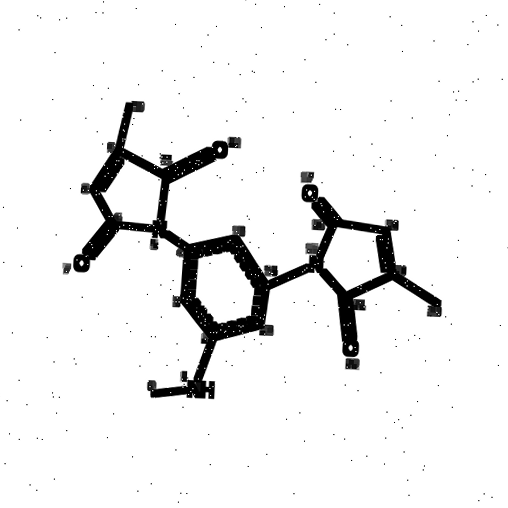 CNc1cc(N2C(=O)C=C(C)C2=O)cc(N2C(=O)C=C(C)C2=O)c1